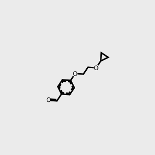 O=Cc1ccc(OCCOC2CC2)cc1